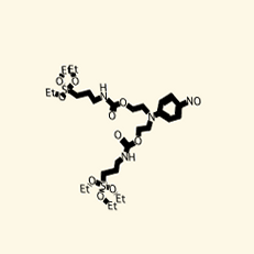 CCO[Si](CCCNC(=O)OCCN(CCOC(=O)NCCC[Si](OCC)(OCC)OCC)c1ccc(N=O)cc1)(OCC)OCC